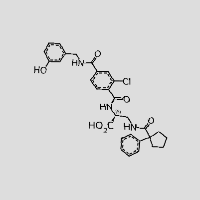 O=C(NCc1cccc(O)c1)c1ccc(C(=O)N[C@@H](CNC(=O)C2(c3ccccc3)CCCC2)C(=O)O)c(Cl)c1